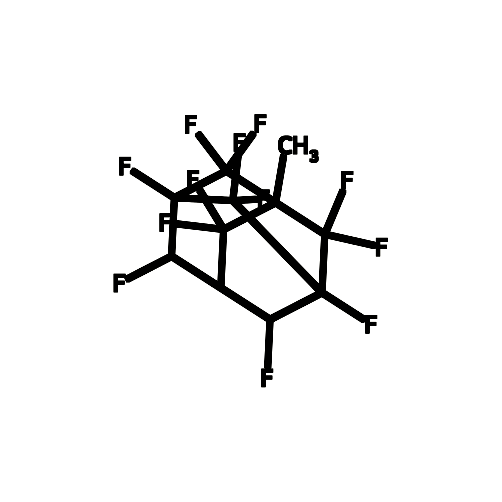 CC12C(F)(F)C3C(F)C(F)(C(F)(F)C(F)(C3F)C1(F)F)C2(F)F